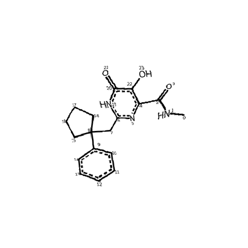 CNC(=O)c1nc(CC2(c3ccccc3)CCCC2)[nH]c(=O)c1O